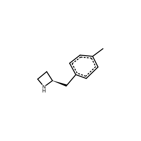 Cc1ccc(C[C@@H]2CCN2)cc1